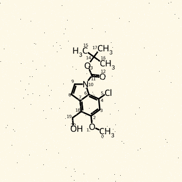 COc1cc(Cl)c2c(ccn2C(=O)OC(C)(C)C)c1CO